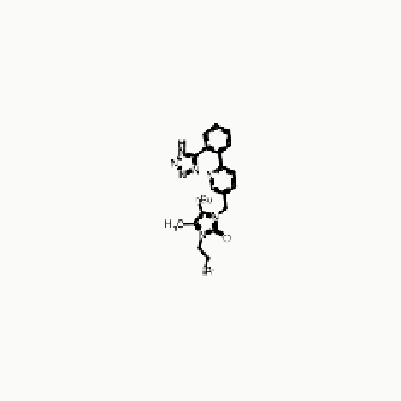 CCCCc1c(C)n(CCC(C)C)c(=O)n1Cc1ccc(-c2ccccc2-c2nnn[nH]2)nc1